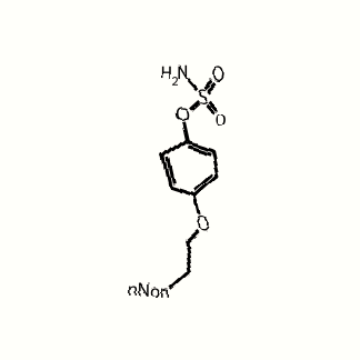 CCCCCCCCCCCOc1ccc(OS(N)(=O)=O)cc1